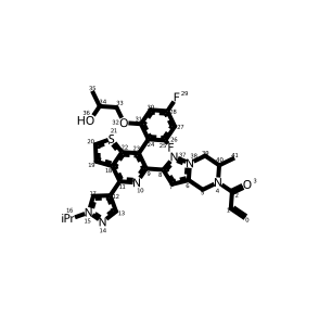 C=CC(=O)N1Cc2cc(-c3nc(-c4cnn(C(C)C)c4)c4ccsc4c3-c3c(F)cc(F)cc3OCC(C)O)nn2CC1C